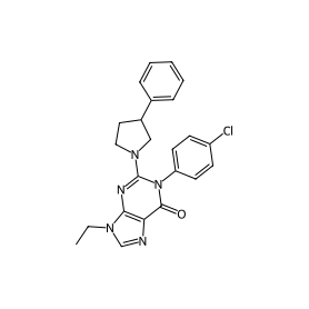 CCn1cnc2c(=O)n(-c3ccc(Cl)cc3)c(N3CCC(c4ccccc4)C3)nc21